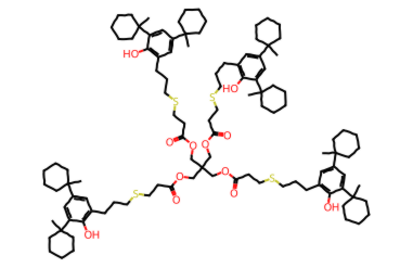 CC1(c2cc(CCCSCCC(=O)OCC(COC(=O)CCSCCCc3cc(C4(C)CCCCC4)cc(C4(C)CCCCC4)c3O)(COC(=O)CCSCCCc3cc(C4(C)CCCCC4)cc(C4(C)CCCCC4)c3O)COC(=O)CCSCCCc3cc(C4(C)CCCCC4)cc(C4(C)CCCCC4)c3O)c(O)c(C3(C)CCCCC3)c2)CCCCC1